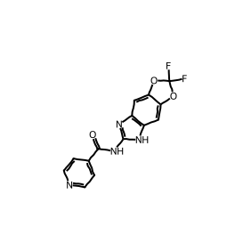 O=C(Nc1nc2cc3c(cc2[nH]1)OC(F)(F)O3)c1ccncc1